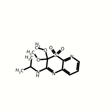 COC1(OC)C(NC(C)C)=Nc2cccnc2S1(=O)=O